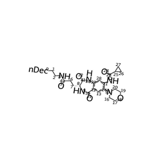 CCCCCCCCCCCCNC(=O)CC[C@H]1NC(=O)c2cc(N3CCOCC3)c(NC(=O)C3CC3)cc2NC1=O